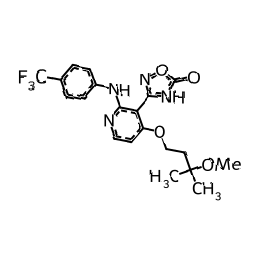 COC(C)(C)CCOc1ccnc(Nc2ccc(C(F)(F)F)cc2)c1-c1noc(=O)[nH]1